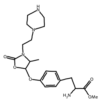 COC(=O)C(N)Cc1ccc(OC2OC(=O)N(CCN3CCNCC3)C2C)cc1